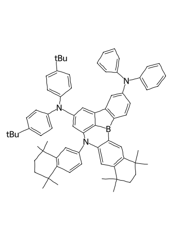 CC(C)(C)c1ccc(N(c2ccc(C(C)(C)C)cc2)c2cc3c4c(c2)N(c2ccc5c(c2)C(C)(C)CCC5(C)C)c2cc5c(cc2B4c2ccc(N(c4ccccc4)c4ccccc4)cc2-3)C(C)(C)CCC5(C)C)cc1